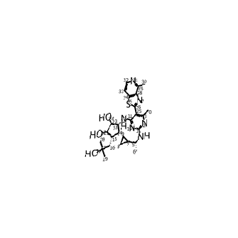 Cc1nc(N[C@H](C)C2CC2)nc(N[C@@H]2C[C@H](CC(C)(C)O)[C@@H](O)[C@H]2O)c1-c1nc2c(C)nccc2s1